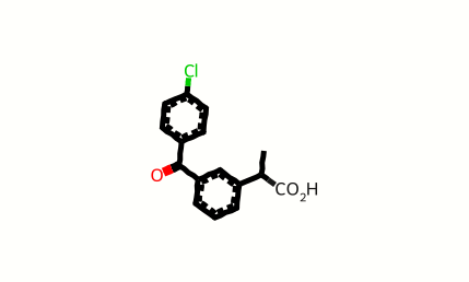 CC(C(=O)O)c1cccc(C(=O)c2ccc(Cl)cc2)c1